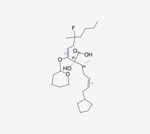 CCCCC(C)(F)C/C=C(/OC1CCCCO1)[C@@](O)(C(=O)O)[C@H](C)C/C=C\CC1CCCC1